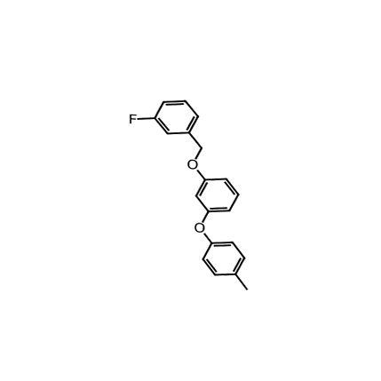 Cc1ccc(Oc2cccc(OCc3cccc(F)c3)c2)cc1